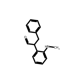 CNc1ccccc1C(C=O)Cc1ccccc1